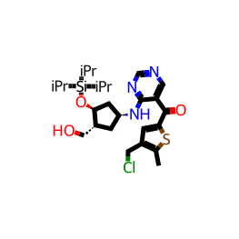 Cc1sc(C(=O)c2cncnc2N[C@@H]2C[C@H](CO)[C@@H](O[Si](C(C)C)(C(C)C)C(C)C)C2)cc1CCl